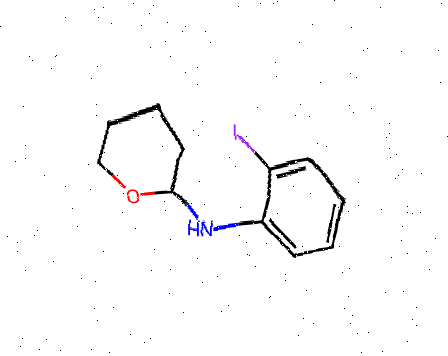 Ic1ccccc1NC1CCCCO1